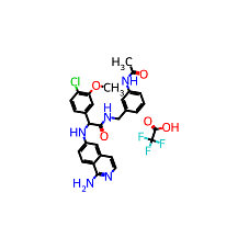 COc1cc(C(Nc2ccc3c(N)nccc3c2)C(=O)NCc2cccc(NC(C)=O)c2)ccc1Cl.O=C(O)C(F)(F)F